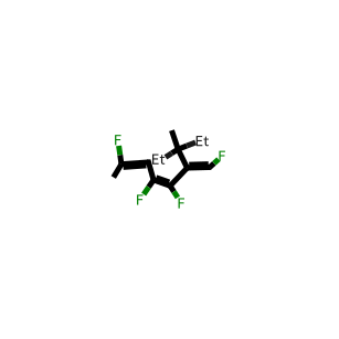 CCC(C)(CC)C(=C\F)/C(F)=C(F)\C=C(/C)F